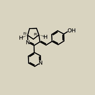 Oc1ccc(C=C2C(c3cccnc3)=N[C@H]3CC[C@@H]2C3)cc1